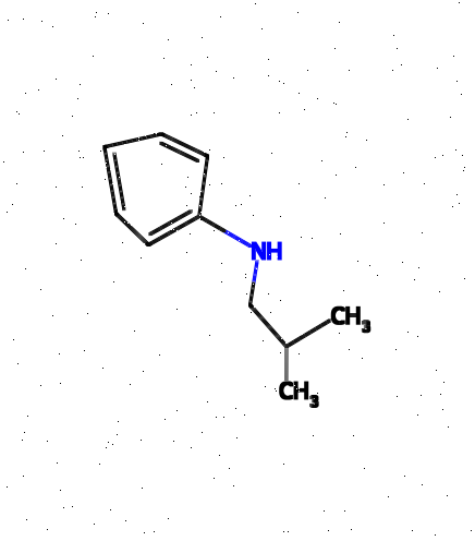 CC(C)CNc1ccccc1